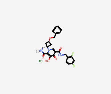 CCN1C[C@]2(C[C@H](OCc3ccccc3)C2)n2cc(C(=O)NCc3ccc(F)cc3F)c(=O)c(O)c2C1=O.Cl